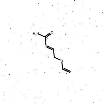 C=COCC=NC(N)=O